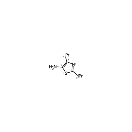 CC(C)c1nc(C(C)C)c(N)s1